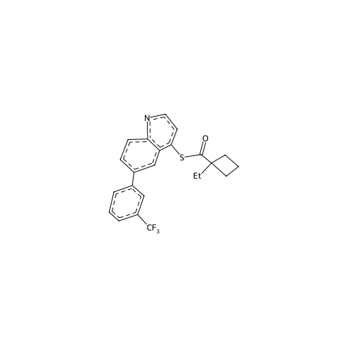 CCC1(C(=O)Sc2ccnc3ccc(-c4cccc(C(F)(F)F)c4)cc23)CCC1